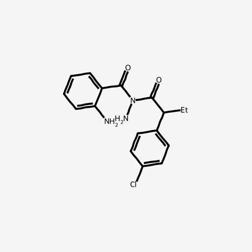 CCC(C(=O)N(N)C(=O)c1ccccc1N)c1ccc(Cl)cc1